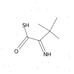 CC(C)(C)C(=N)C(=O)S